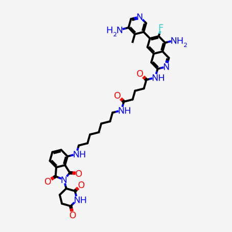 Cc1c(N)cncc1-c1cc2cc(NC(=O)CCCC(=O)NCCCCCCCNc3cccc4c3C(=O)N(C3CCC(=O)NC3=O)C4=O)ncc2c(N)c1F